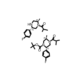 CC(C)C(=O)N1C[C@H](c2ccc(F)cc2)N(C(=O)OC(C)(C)C)C[C@H]1C.CC(C)C(=O)N1C[C@H](c2ccc(F)cc2)NC[C@H]1C